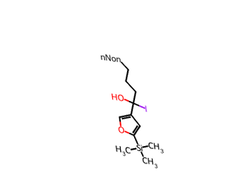 CCCCCCCCCCCCC(O)(I)c1coc([Si](C)(C)C)c1